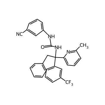 Cc1cccc(C(Cc2ccccc2)(NC(=O)Nc2cccc(C#N)c2)c2cccc(C(F)(F)F)c2)n1